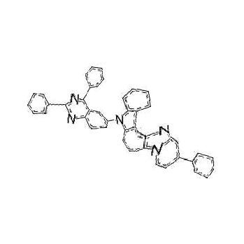 c1ccc(-c2ccn3c(c2)nc2c4c5ccccc5n(-c5ccc6nc(-c7ccccc7)nc(-c7ccccc7)c6c5)c4ccc23)cc1